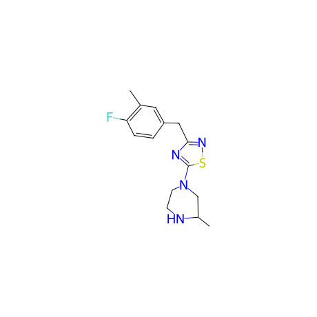 Cc1cc(Cc2nsc(N3CCNC(C)C3)n2)ccc1F